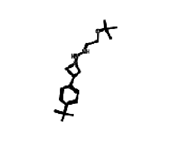 CC(C)(C)OCCNNN1CC(c2ccc(C(C)(C)C)cc2)C1